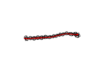 C=C(C)C(=O)OCCCCOCCCCOCCCCOCCCCOCCCCOCCCCOCCCCOCCCCOCCCCOCCCCOCCCCOCCCCOCCCCOC(=O)C(=C)C